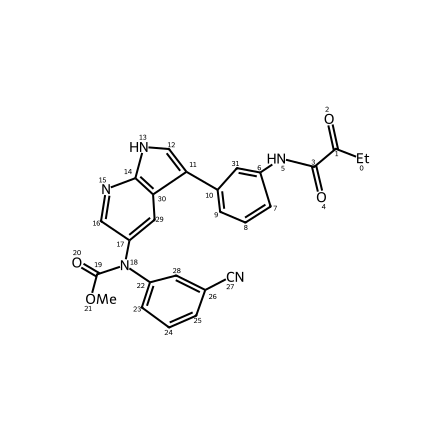 CCC(=O)C(=O)Nc1cccc(-c2c[nH]c3ncc(N(C(=O)OC)c4cccc(C#N)c4)cc23)c1